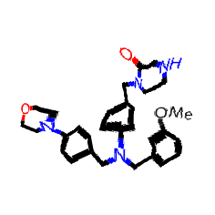 COc1cccc(CN(Cc2ccc(N3CCOCC3)cc2)c2ccc(CN3CCNCC3=O)cc2)c1